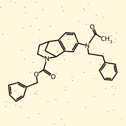 CC(=O)N(CCc1ccccc1)c1ccc2c(c1)C1CC2CCN1C(=O)OCc1ccccc1